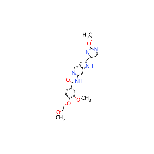 CCOc1nccc(-c2cc3cnc(NC(=O)c4ccc(OCCOC)c(OC)c4)cc3[nH]2)n1